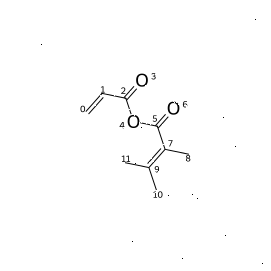 C=CC(=O)OC(=O)C(C)=C(C)C